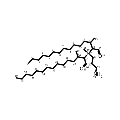 CCCCCCCCCCCCC(C)C(C=O)[N+](C)(CCCN)C(C=O)C(C)CCCCCCCCCCCC